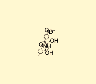 CC1CCC(C(=O)N[C@@H](CCO)[C@@H](C)c2ccc([N+](=O)[O-])cc2)C(C(=O)O)C1